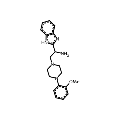 COc1ccccc1N1CCN(CC(N)c2nc3ccccc3[nH]2)CC1